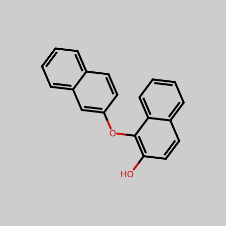 Oc1ccc2ccccc2c1Oc1ccc2ccccc2c1